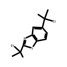 CCC(C)(C)c1ccc2sc(C(C)(C)CC)nc2c1